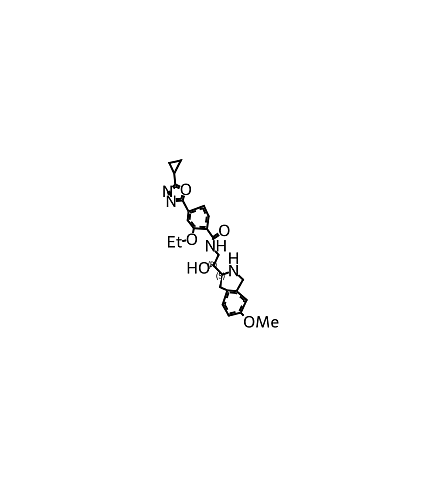 CCOc1cc(-c2nnc(C3CC3)o2)ccc1C(=O)NC[C@@H](O)[C@@H]1Cc2ccc(OC)cc2CN1